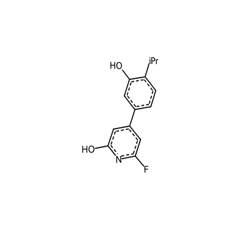 CC(C)c1ccc(-c2cc(O)nc(F)c2)cc1O